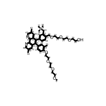 COCCOCCOCCOc1ccc(-c2c(-c3ccc(COCCOCCOCCO)c(C[N+](C)(C)C)c3)c3cc(C)cnc3c3ncc(C)cc23)cc1C